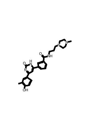 Cc1cc(-c2cc(-c3cccc(C(=O)NCCCN4CCN(C)CC4)c3)[nH]c(=O)n2)ccc1O